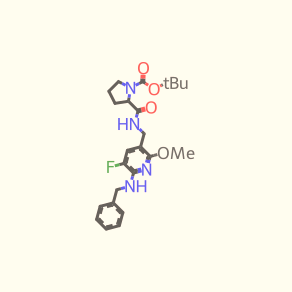 COc1nc(NCc2ccccc2)c(F)cc1CNC(=O)C1CCCN1C(=O)OC(C)(C)C